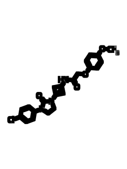 O=C(COc1ccc(OC(F)(F)F)cc1)NC12CC(N3CCN(c4ccc(Cl)cc4)C3=O)(C1)C2